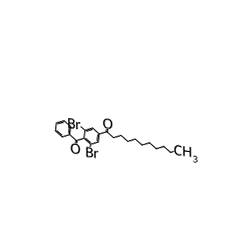 CCCCCCCCCCC(=O)c1cc(Br)c(C(=O)c2ccccc2)c(Br)c1